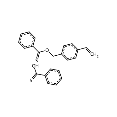 C=Cc1ccc(COC(=S)c2ccccc2)cc1.OC(=S)c1ccccc1